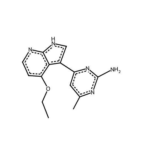 CCOc1ccnc2[nH]cc(-c3cc(C)nc(N)n3)c12